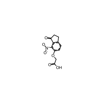 O=C(O)COc1ccc2c(c1[N+](=O)[O-])C(=O)CC2